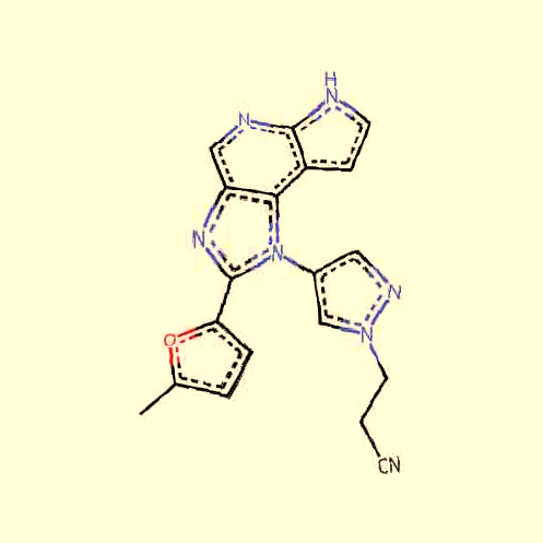 Cc1ccc(-c2nc3cnc4[nH]ccc4c3n2-c2cnn(CCC#N)c2)o1